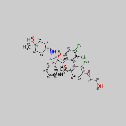 CNC(=O)C1=C(c2c(Cl)c(F)cc3c2[C@H](C)[C@@](CN[C@H]2CC[C@](C)(O)CC2)(c2ccccc2)O3)C(F)C(OCCO)C=C1